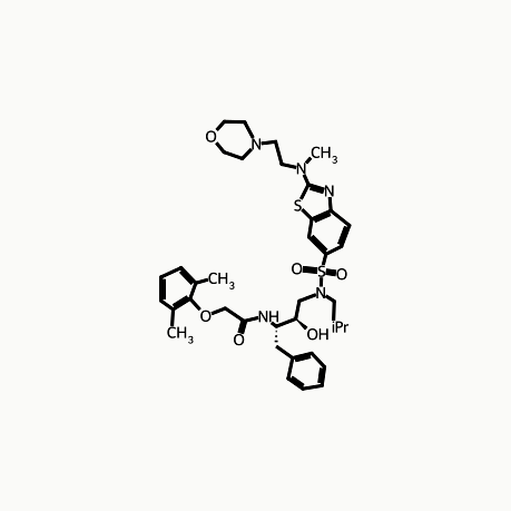 Cc1cccc(C)c1OCC(=O)N[C@@H](Cc1ccccc1)[C@H](O)CN(CC(C)C)S(=O)(=O)c1ccc2nc(N(C)CCN3CCOCC3)sc2c1